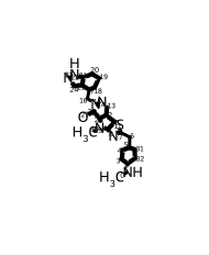 CNc1ccc(Cc2nc3c(s2)c2cnn(Cc4cccc5[nH]ncc45)c(=O)c2n3C)cc1